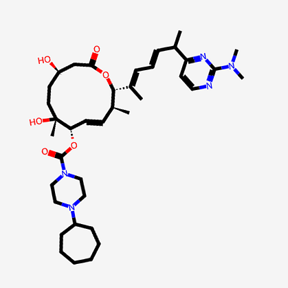 C/C(=C\C=C\C(C)c1ccnc(N(C)C)n1)[C@H]1OC(=O)C[C@H](O)CC[C@@](C)(O)[C@@H](OC(=O)N2CCN(C3CCCCCC3)CC2)/C=C/[C@@H]1C